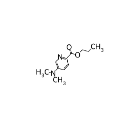 CCCOC(=O)c1ccc(N(C)C)cn1